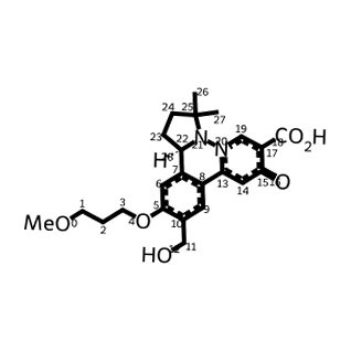 COCCCOc1cc2c(cc1CO)-c1cc(=O)c(C(=O)O)cn1N1[C@@H]2CCC1(C)C